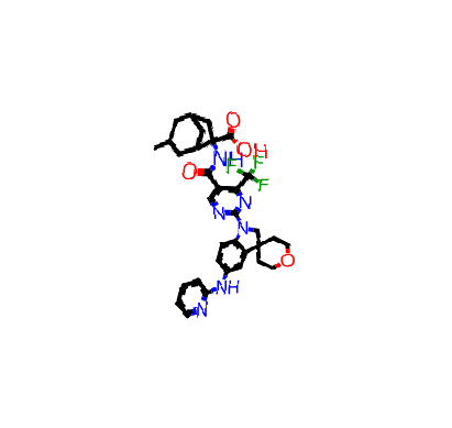 CC1CC2CC(C1)C(NC(=O)c1cnc(N3CC4(CCOCC4)c4cc(Nc5ccccn5)ccc43)nc1C(F)(F)F)(C(=O)O)C2